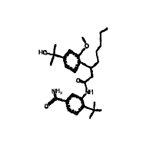 CCCCCC(CC(=O)Nc1cc(C(N)=O)ccc1C(C)(C)C)c1ccc(C(C)(C)O)cc1OC